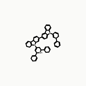 C1=CCCC(C2CC(N3C4=C(C=CCC4)C4C=CC(c5ccc6c(c5)c5ccccc5n6C5=CC(c6ccccc6)CC=C5)=CC43)=CC(C3=CCCC=C3)N2)=C1